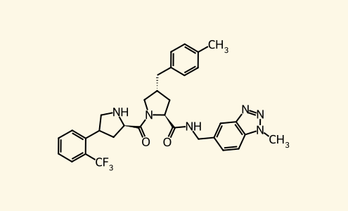 Cc1ccc(C[C@@H]2C[C@@H](C(=O)NCc3ccc4c(c3)nnn4C)N(C(=O)[C@H]3CC(c4ccccc4C(F)(F)F)CN3)C2)cc1